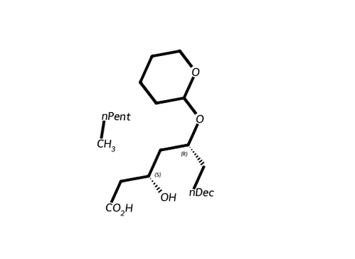 CCCCCC.CCCCCCCCCCC[C@H](C[C@H](O)CC(=O)O)OC1CCCCO1